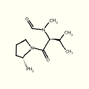 CC(C)[C@@H](C(=O)N1CCC[C@H]1P)N(C)C=O